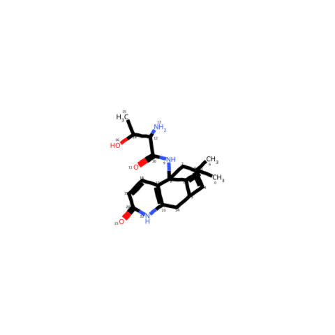 C/C=C1\C2C=C(C)CC1(NC(=O)C(N)C(C)O)c1ccc(=O)[nH]c1C2